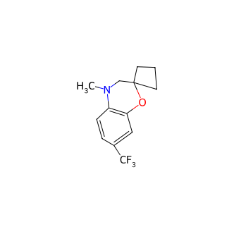 CN1CC2(CCC2)Oc2cc(C(F)(F)F)ccc21